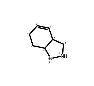 C1=CC2CN[N]C2CC1